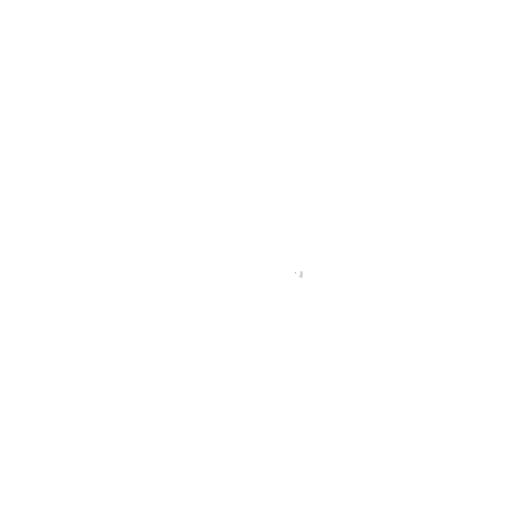 O=C1CCc2ccc(Cc3cc4ccccc4[nH]c3=O)cc21